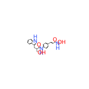 O=C(/C=C/c1ccc(NC(=O)C(CO)Cc2c[nH]c3ccccc23)cc1)NO